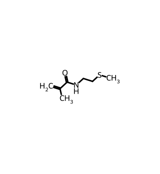 C=C(C)C(=O)NCCSC